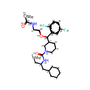 CNCC(CC1CCCCC1)NC(=O)N1CCCC(C(OCCNC(=O)OC)c2cc(F)ccc2F)C1